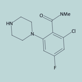 CNC(=O)c1c(Cl)cc(F)cc1N1CCNCC1